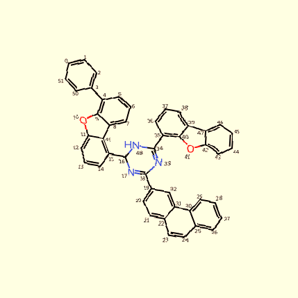 c1ccc(-c2cccc3c2oc2cccc(C4N=C(c5ccc6ccc7ccccc7c6c5)N=C(c5cccc6c5oc5ccccc56)N4)c23)cc1